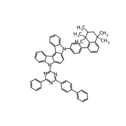 CC1CC(C)(C)c2cccc(-c3ccc(-n4c5ccccc5c5c6c7ccccc7n(-c7nc(-c8ccccc8)nc(-c8ccc(-c9ccccc9)cc8)n7)c6ccc54)cc3)c2C1(C)C